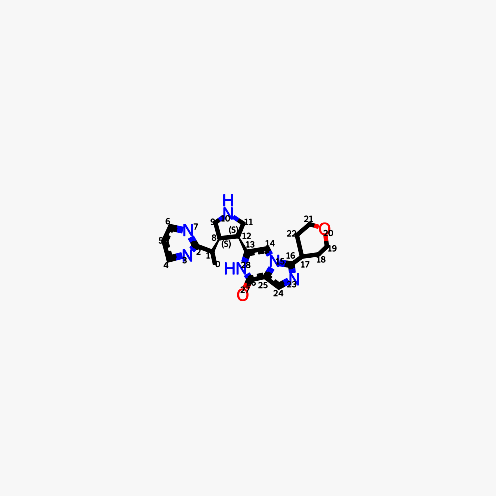 CC(c1ncccn1)[C@H]1CNC[C@H]1c1cn2c(C3CCOCC3)ncc2c(=O)[nH]1